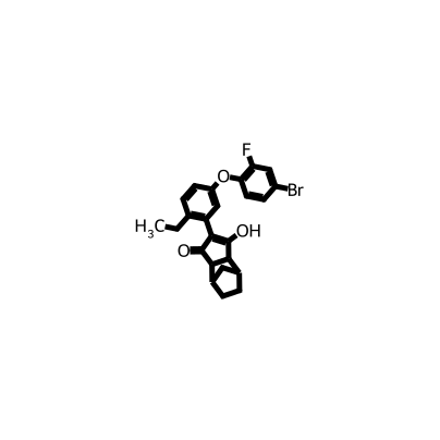 CCc1ccc(Oc2ccc(Br)cc2F)cc1C1=C(O)C2C3CCC(C3)C2C1=O